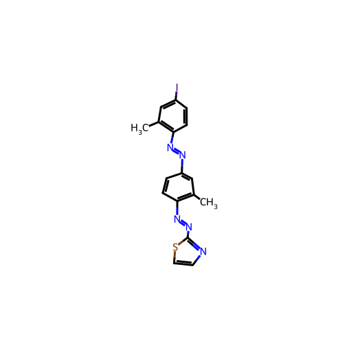 Cc1cc(I)ccc1/N=N/c1ccc(/N=N/c2nccs2)c(C)c1